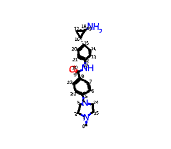 CN1CCN(c2ccc(C(=O)Nc3ccc([C@@H]4C[C@H]4N)cc3)cc2)CC1